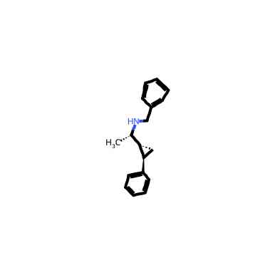 C[C@H](NCc1ccccc1)[C@@H]1C[C@H]1c1ccccc1